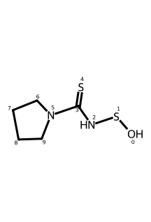 OSNC(=S)N1CCCC1